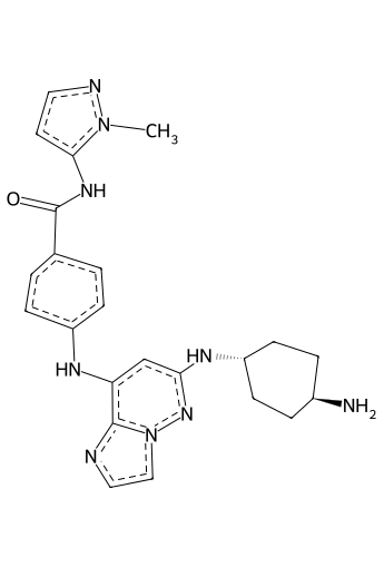 Cn1nccc1NC(=O)c1ccc(Nc2cc(N[C@H]3CC[C@H](N)CC3)nn3ccnc23)cc1